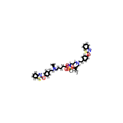 CS(=O)(=O)N(CCCN(CCc1ccc(Oc2nc3ccccc3s2)cc1)CC1CC1)OC(=O)CCCCN(CCc1ccc(Oc2nc3ccccc3s2)cc1)C1CC1